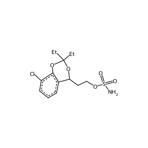 CCC1(CC)Oc2c(Cl)cccc2C(CCOS(N)(=O)=O)O1